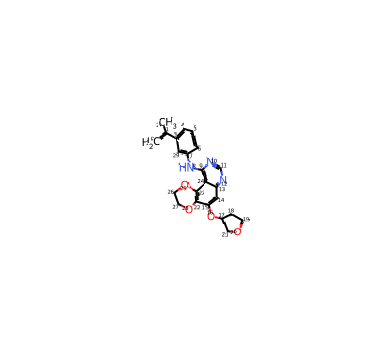 C=C(C)c1cccc(Nc2ncnc3cc(OC4CCOC4)c4c(c23)OCCO4)c1